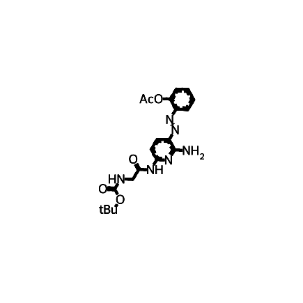 CC(=O)Oc1ccccc1N=Nc1ccc(NC(=O)CNC(=O)OC(C)(C)C)nc1N